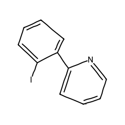 Ic1ccccc1-c1c[c]ccn1